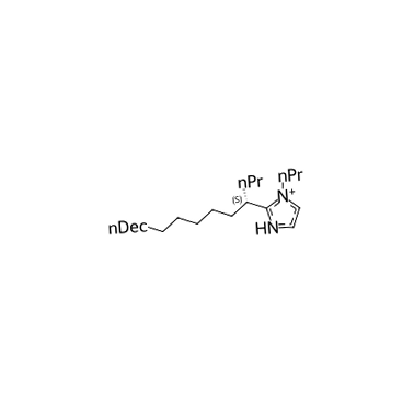 CCCCCCCCCCCCCCC[C@H](CCC)c1[nH]cc[n+]1CCC